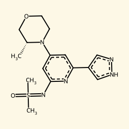 C[C@@H]1COCCN1c1cc(N=S(C)(C)=O)nc(-c2cn[nH]c2)c1